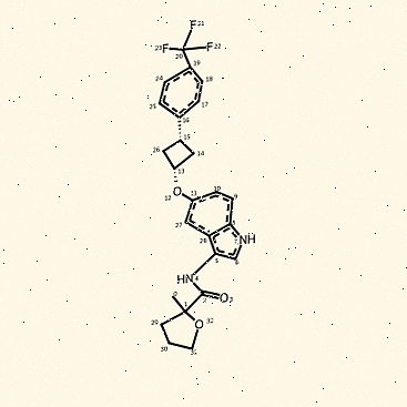 CC1(C(=O)Nc2c[nH]c3ccc(O[C@H]4C[C@@H](c5ccc(C(F)(F)F)cc5)C4)cc23)CCCO1